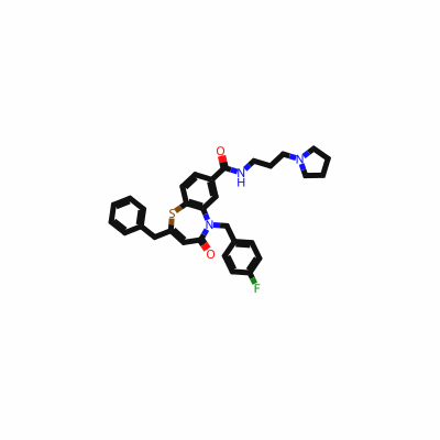 O=C(NCCCN1CCCC1)c1ccc2c(c1)N(Cc1ccc(F)cc1)C(=O)C=C(Cc1ccccc1)S2